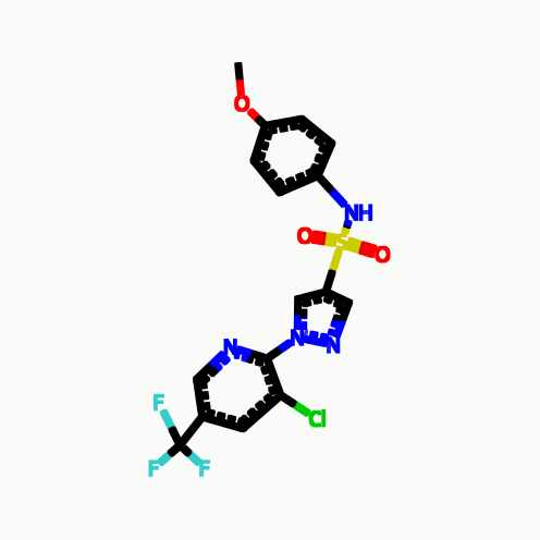 COc1ccc(NS(=O)(=O)c2cnn(-c3ncc(C(F)(F)F)cc3Cl)c2)cc1